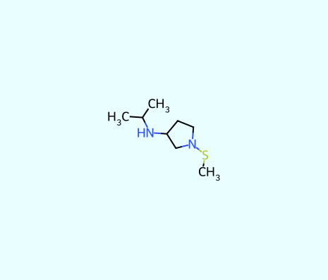 CSN1CCC(NC(C)C)C1